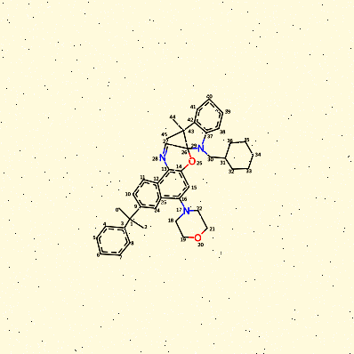 CC(C)(c1ccccc1)c1ccc2c3c(cc(N4CCOCC4)c2c1)OC1(C=N3)N(CC2CCCCC2)c2ccccc2C1(C)C